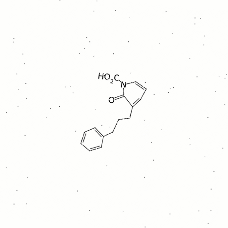 O=C(O)n1cccc(CCCc2ccccc2)c1=O